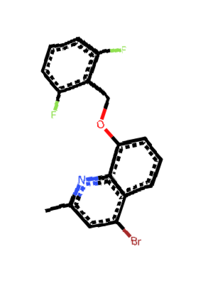 Cc1cc(Br)c2cccc(OCc3c(F)cccc3F)c2n1